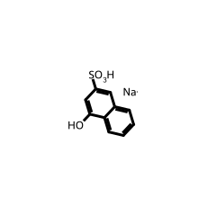 O=S(=O)(O)c1cc(O)c2ccccc2c1.[Na]